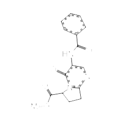 COC(=O)C1CCc2ncc(NC(=O)c3ccccc3)c(=O)n21